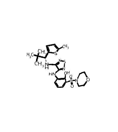 Cc1ccc([C@H](Nc2nsnc2Nc2cccc(S(=O)(=O)N3CCOCC3)c2O)C(C)(C)C)s1